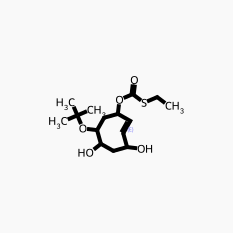 CCSC(=O)OC1/C=C/C(O)CC(O)C(OC(C)(C)C)C1